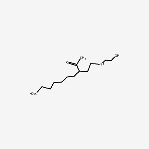 CCCCCCCCCCCCCCCCC(CCNCCO)C(N)=O